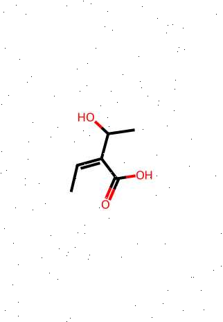 CC=C(C(=O)O)C(C)O